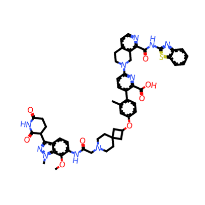 COc1c(NC(=O)CN2CCC3(CC2)CC(Oc2ccc(-c4ccc(N5CCc6ccnc(C(=O)Nc7nc8ccccc8s7)c6C5)nc4C(=O)O)c(C)c2)C3)ccc2c(C3CCC(=O)NC3=O)nn(C)c12